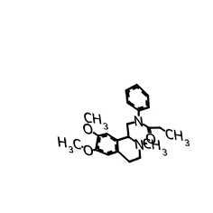 CCC(=O)N(CC1c2cc(OC)c(OC)cc2CCN1C)c1ccccc1